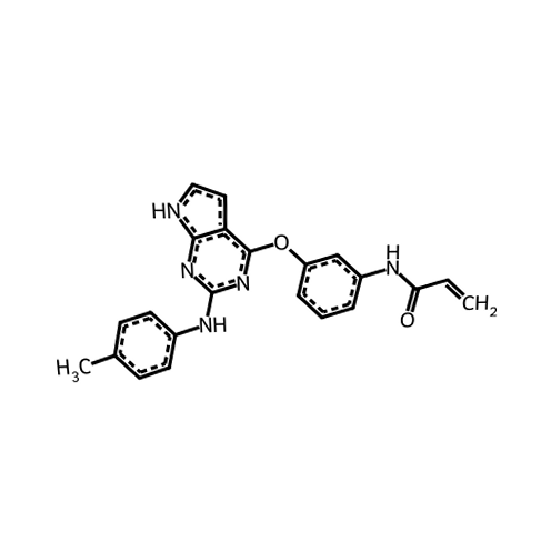 C=CC(=O)Nc1cccc(Oc2nc(Nc3ccc(C)cc3)nc3[nH]ccc23)c1